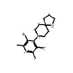 CCc1c(C)nc(C)c(Br)c1N1CCC2(CCCO2)CC1